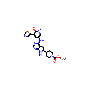 Cn1cc(Nc2ncnc3c2CC(C2=CCN(C(=O)OC(C)(C)C)CC2)N3)cc(-c2cncs2)c1=O